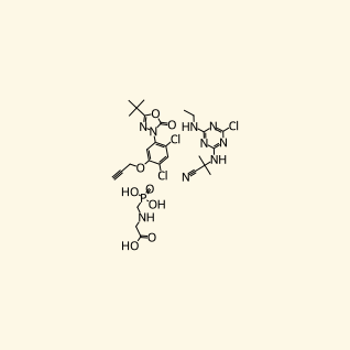 C#CCOc1cc(-n2nc(C(C)(C)C)oc2=O)c(Cl)cc1Cl.CCNc1nc(Cl)nc(NC(C)(C)C#N)n1.O=C(O)CNCP(=O)(O)O